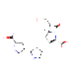 C[C@@H](O)[C@H]1C(=O)N2C(C(=O)O)=C(S[C@@H]3CN[C@H](C4CNC(C(N)=O)C4)C3)[C@H](C)[C@H]12